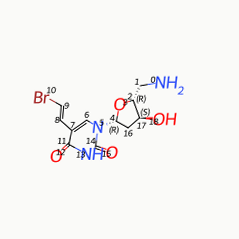 NC[C@H]1O[C@@H](n2cc(C=CBr)c(=O)[nH]c2=O)C[C@@H]1O